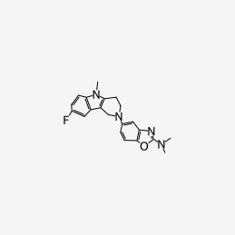 CN(C)c1nc2cc(N3CCc4c(c5cc(F)ccc5n4C)C3)ccc2o1